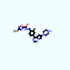 Cc1cc(-c2ncnn3cc(N4CCNCC4)cc23)ccc1CNC(=O)c1nc(C(C)(C)C)no1